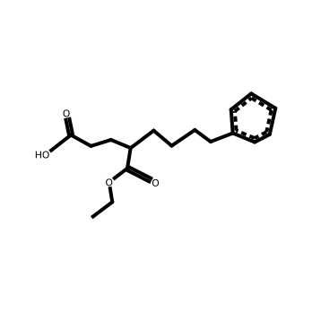 CCOC(=O)C(CCCCc1ccccc1)CCC(=O)O